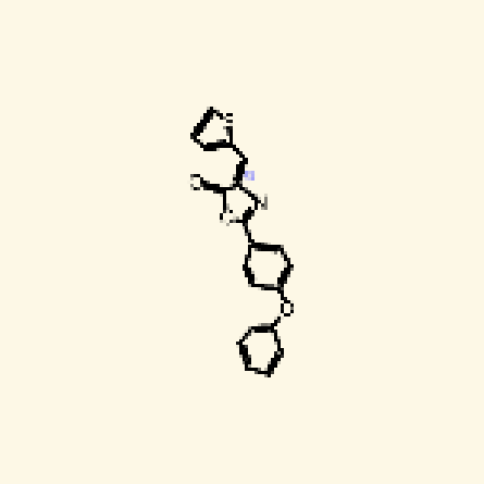 O=C1OC(c2ccc(Oc3ccccc3)cc2)=N/C1=C/c1cccs1